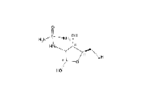 NP(N)(=O)NC1[C@@H](O)O[C@H](CO)[C@H]1O